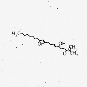 CCCCCCCCC(O)C=CCCC=CC(O)CCC(=O)N(C)C